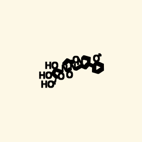 COc1ccccc1-c1ccnc(Cn2c(=O)ccn([C@@H]3O[C@H](CO)C(O)C3O)c2=O)c1